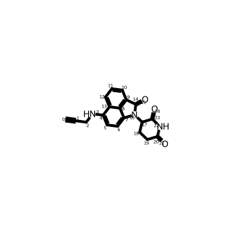 C#CCNc1ccc2c3c(cccc13)C(=O)N2C1CCC(=O)NC1=O